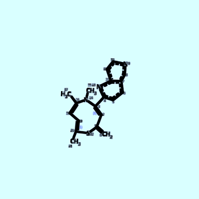 C=C1/C=C(/c2ccc3cnccc3n2)N(C)C(C)=C/C=C(\C)S1